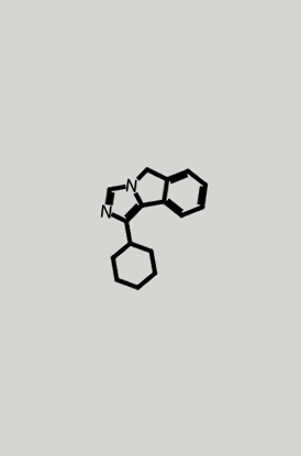 c1ccc2c(c1)Cn1cnc(C3CCCCC3)c1-2